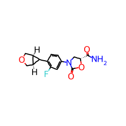 NC(=O)[C@H]1CN(c2ccc(C3[C@H]4COC[C@@H]34)c(F)c2)C(=O)O1